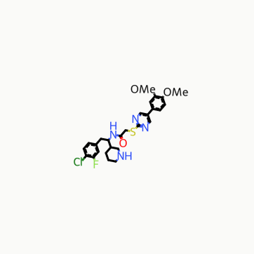 COc1ccc(-c2cnc(SCC(=O)NC(Cc3ccc(Cl)c(F)c3)C3CCCNC3)nc2)cc1OC